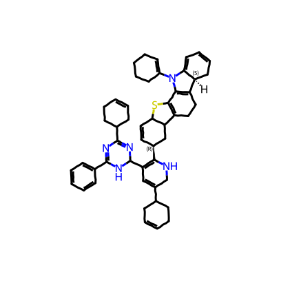 C1=CC[C@@H]2C(=C1)N(C1=CCCCC1)C1=C2CCC2=C1SC1C=C[C@H](C3=C(C4N=C(C5CC=CCC5)N=C(c5ccccc5)N4)C=C(C4CC=CCC4)CN3)CC21